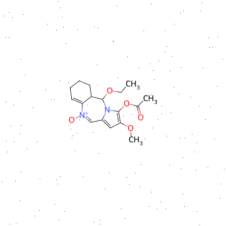 CCOC1C2CCCC=C2[N+]([O-])=Cc2cc(OC)c(OC(C)=O)n21